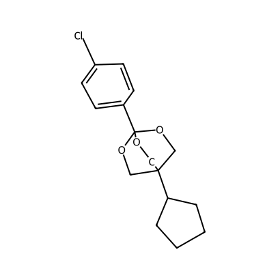 Clc1ccc(C23OCC(C4CCCC4)(CO2)CO3)cc1